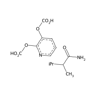 CC(C)C(C)C(N)=O.O=C(O)Oc1cccnc1OC(=O)O